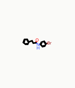 O=C(CCc1ccccc1)Nc1ccc(Br)cc1